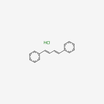 C(/C=C/c1ccccc1)=C\c1ccccc1.Cl